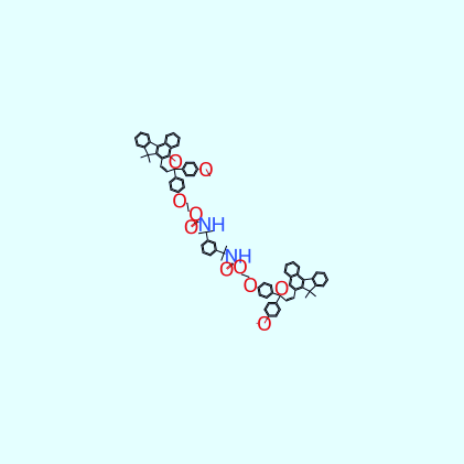 COc1ccc(C2(c3ccc(OCCOC(=O)NC(C)(C)c4cccc(C(C)(C)NC(=O)OCCOc5ccc(C6(c7ccc(OC)cc7)C=Cc7c8c(c9ccccc9c7O6)-c6ccccc6C8(C)C)cc5)c4)cc3)C=Cc3c4c(c5ccccc5c3O2)-c2ccccc2C4(C)C)cc1